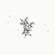 CCOC(OCC)C(O)(OCC)C1CC(C)(C)N(C(O)(OCC)C(OCC)OCC)c2cc(C)c(N)cc21